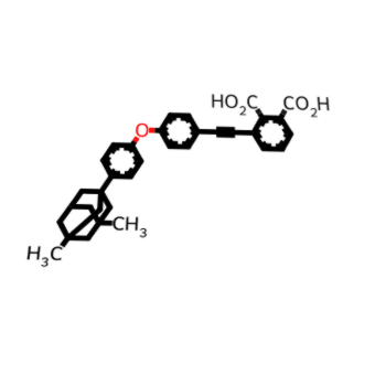 CC12CC3CC(C)(C1)CC(c1ccc(Oc4ccc(C#Cc5cccc(C(=O)O)c5C(=O)O)cc4)cc1)(C3)C2